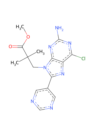 COC(=O)C(C)(C)Cn1c(-c2cncnc2)nc2c(Cl)nc(N)nc21